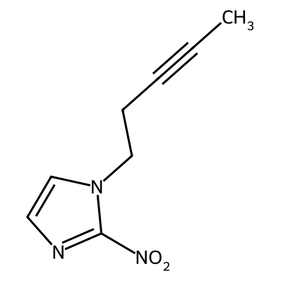 CC#CCCn1ccnc1[N+](=O)[O-]